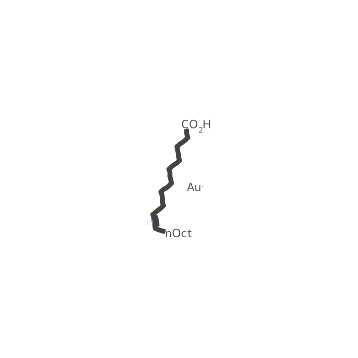 CCCCCCCC/C=C\CCCCCCCC(=O)O.[Au]